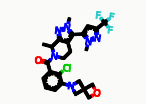 CC1c2nn(C)c(-c3cc(C(F)(F)F)nn3C)c2CCN1C(=O)c1cccc(N2CC3(COC3)C2)c1Cl